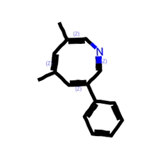 CC1=C/N=C\C(c2ccccc2)=C/C(C)=C\1